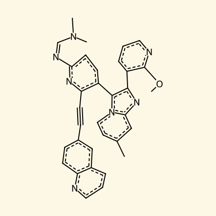 COc1ncccc1-c1nc2cc(C)ccn2c1-c1ccc(/N=C\N(C)C)nc1C#Cc1ccc2ncccc2c1